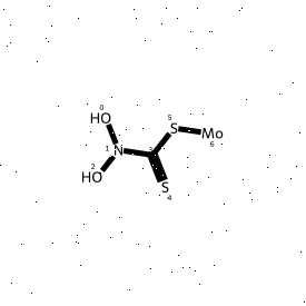 ON(O)C(=S)[S][Mo]